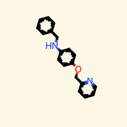 c1ccc(CNc2ccc(OCc3ccccn3)cc2)cc1